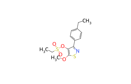 CCc1ccc(-c2nsc(OC)c2OS(=O)(=O)CC)cc1